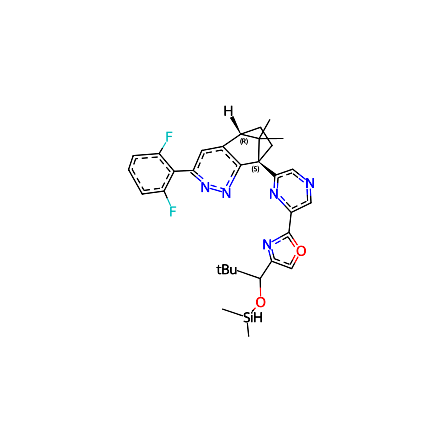 C[SiH](C)OC(c1coc(-c2cncc([C@@]34CC[C@@H](c5cc(-c6c(F)cccc6F)nnc53)C4(C)C)n2)n1)C(C)(C)C